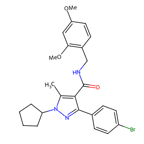 COc1ccc(CNC(=O)c2c(-c3ccc(Br)cc3)nn(C3CCCC3)c2C)c(OC)c1